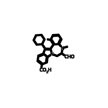 Cc1cccc2c1-c1c(C3CCCCC3)c3ccc(C(=O)O)cc3n1CC(C=O)N2C